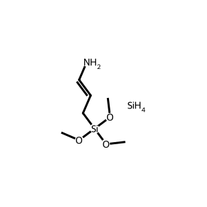 CO[Si](CC=CN)(OC)OC.[SiH4]